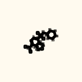 O=[N+]([O-])c1ccc(S(=O)(=O)CC2CCCCC2)c2nonc12